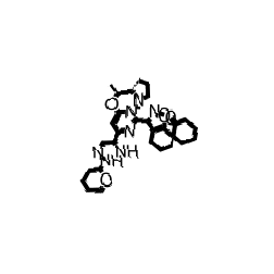 C[C@H](Oc1cc(C(=N)/C=N\NC2CCCCO2)nc(-c2noc3c2CCC[C@@]32CCCCC2=O)n1)[C@@H]1CCCN1C